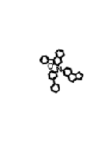 C1=Cc2c(ccc3cc(N(c4cccc(-c5ccccc5)c4)c4cc5ccccc5c5c4oc4ccccc45)ccc23)C1